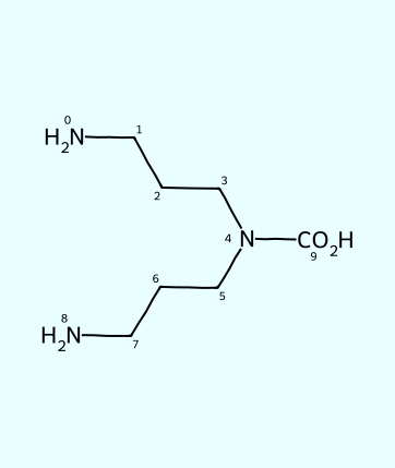 NCCCN(CCCN)C(=O)O